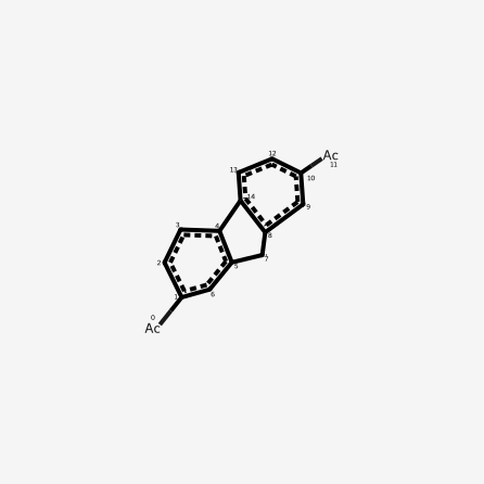 CC(=O)c1ccc2c(c1)[CH]c1cc(C(C)=O)ccc1-2